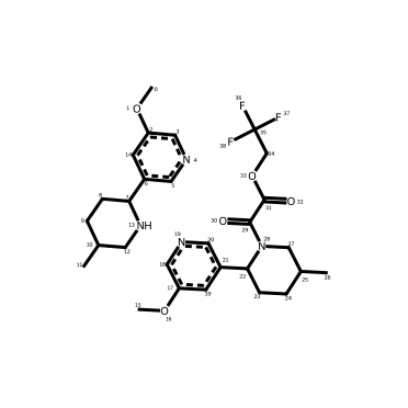 COc1cncc(C2CCC(C)CN2)c1.COc1cncc(C2CCC(C)CN2C(=O)C(=O)OCC(F)(F)F)c1